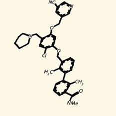 CNC(=O)c1cccc(-c2cccc(COc3cc(OCc4cncc(C#N)c4)c(CN4CCCCC4)cc3Cl)c2C)c1C